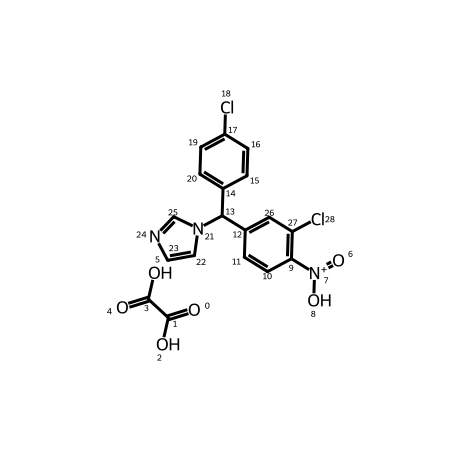 O=C(O)C(=O)O.O=[N+](O)c1ccc(C(c2ccc(Cl)cc2)n2ccnc2)cc1Cl